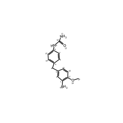 Bc1cc(Cc2ccc(NC(N)=O)cc2)ccc1OC